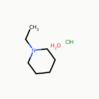 CCN1CCCCC1.Cl.O